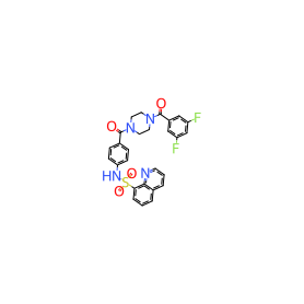 O=C(c1ccc(NS(=O)(=O)c2cccc3cccnc23)cc1)N1CCN(C(=O)c2cc(F)cc(F)c2)CC1